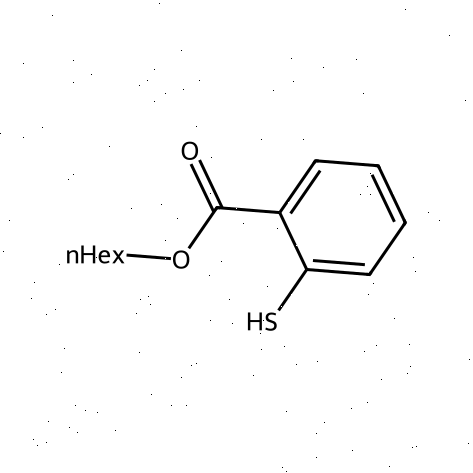 CCCCCCOC(=O)c1ccccc1S